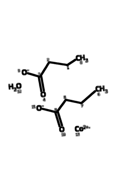 CCCC(=O)[O-].CCCC(=O)[O-].O.[Co+2]